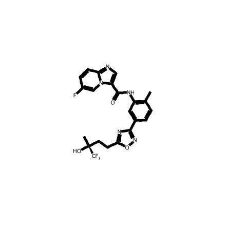 Cc1ccc(-c2noc(CC[C@@](C)(O)C(F)(F)F)n2)cc1NC(=O)c1cnc2ccc(F)cn12